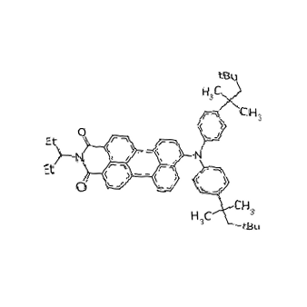 CCC(CC)N1C(=O)c2ccc3c4cccc5c(N(c6ccc(C(C)(C)CC(C)(C)C)cc6)c6ccc(C(C)(C)CC(C)(C)C)cc6)ccc(c6ccc(c2c36)C1=O)c54